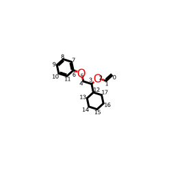 C=COC(COc1ccccc1)C1CCCCC1